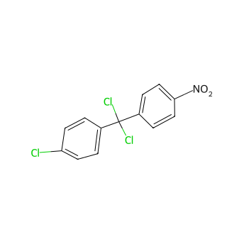 O=[N+]([O-])c1ccc(C(Cl)(Cl)c2ccc(Cl)cc2)cc1